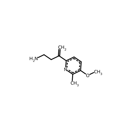 C=C(CCN)c1ccc(OC)c(C)n1